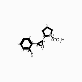 O=C(O)N1CCCC1[C@@H]1O[C@H]1c1ccccc1F